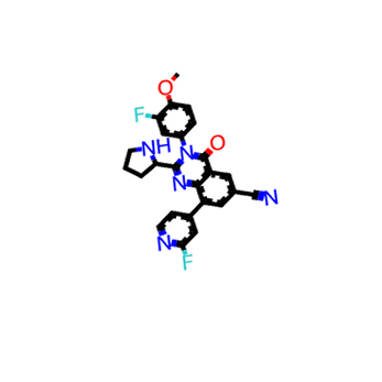 COc1ccc(-n2c(C3CCCN3)nc3c(-c4ccnc(F)c4)cc(C#N)cc3c2=O)cc1F